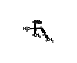 C=C=CC(C)(C)OC